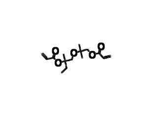 C=CC(=O)OCC(C)(C)OCC(C)(CC)OC(=O)C=C